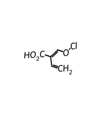 C=CC(=COCl)C(=O)O